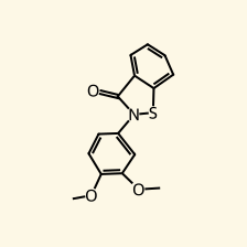 COc1ccc(-n2sc3ccccc3c2=O)cc1OC